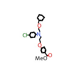 COC(=O)c1ccc(OCCCN(CCOCc2ccccc2)c2ccc(Cl)cc2)cc1